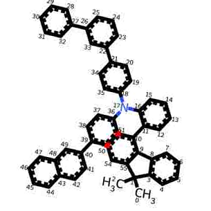 CC1(C)c2ccccc2-c2c(-c3ccccc3N(c3ccc(-c4cccc(-c5ccccc5)c4)cc3)c3ccc(-c4ccc5ccccc5c4)cc3)cccc21